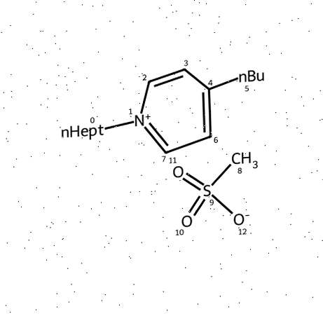 CCCCCCC[n+]1ccc(CCCC)cc1.CS(=O)(=O)[O-]